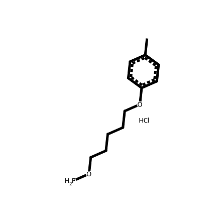 Cc1ccc(OCCCCCOP)cc1.Cl